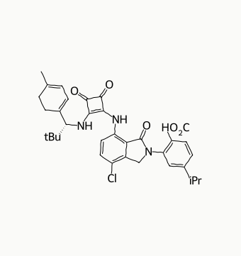 CC1=CC=C([C@H](Nc2c(Nc3ccc(Cl)c4c3C(=O)N(c3cc(C(C)C)ccc3C(=O)O)C4)c(=O)c2=O)C(C)(C)C)CC1